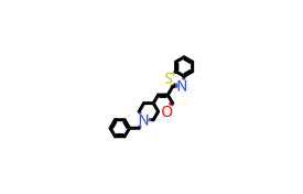 O=CC(=CC1CCN(Cc2ccccc2)CC1)c1nc2ccccc2s1